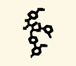 CCN(Nc1ccc(OC)cc1)C(=O)C(Cc1ccc(-c2cc(F)ccc2OC)cc1)NC(=O)c1cccc(C)c1